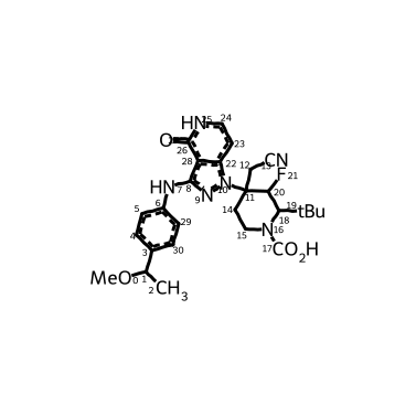 COC(C)c1ccc(Nc2nn(C3(CC#N)CCN(C(=O)O)C(C(C)(C)C)C3F)c3cc[nH]c(=O)c23)cc1